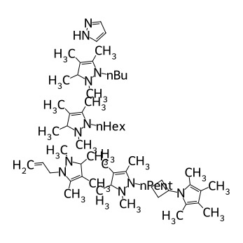 C=CCN1C(C)=C(C)C(C)N1C.CCCCCCN1C(C)=C(C)C(C)N1C.CCCCCN1C(C)=C(C)C(C)N1C.CCCCN1C(C)=C(C)C(C)N1C.Cc1c(C)c(C)n(C2=CCC2)c1C.c1cn[nH]c1